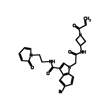 C=CC(=O)N1CC(NC(=O)Cn2cc(C(=O)NCCn3ccccc3=O)c3cc(Br)ccc32)C1